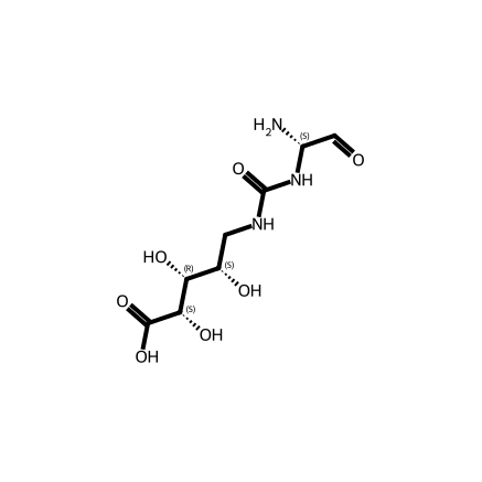 N[C@H](C=O)NC(=O)NC[C@H](O)[C@@H](O)[C@H](O)C(=O)O